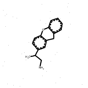 CC(CN)c1ccc2c(c1)Cc1ccccc1O2